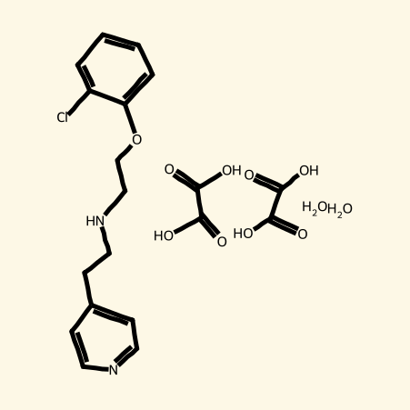 Clc1ccccc1OCCNCCc1ccncc1.O.O.O=C(O)C(=O)O.O=C(O)C(=O)O